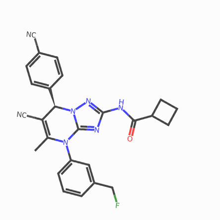 CC1=C(C#N)[C@@H](c2ccc(C#N)cc2)n2nc(NC(=O)C3CCC3)nc2N1c1cccc(CF)c1